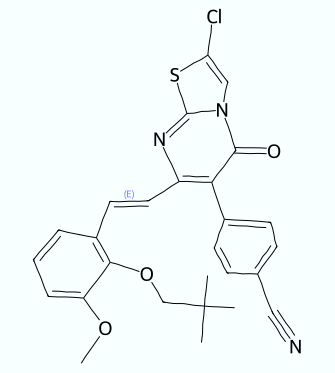 COc1cccc(/C=C/c2nc3sc(Cl)cn3c(=O)c2-c2ccc(C#N)cc2)c1OCC(C)(C)C